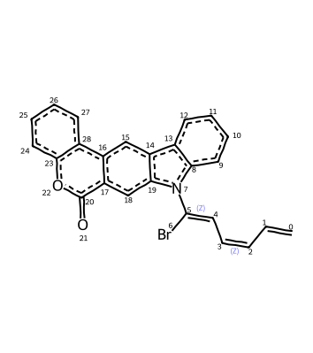 C=C/C=C\C=C(/Br)n1c2ccccc2c2cc3c(cc21)c(=O)oc1ccccc13